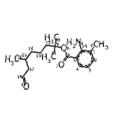 Cc1cccc(C(=O)OC(C)(C)CCCC(C)CC=O)c1N